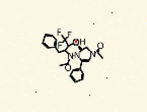 CC(=O)N1C=C(c2ccccc2)N(N(C(C)=O)C(Cc2ccccc2)C(O)C(F)(F)F)C(=O)C1